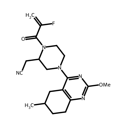 C=C(F)C(=O)N1CCN(c2nc(OC)nc3c2CC(C)CC3)CC1CC#N